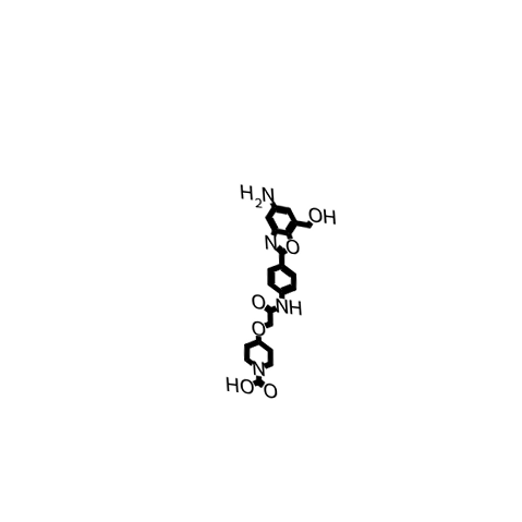 Nc1cc(CO)c2oc(-c3ccc(NC(=O)COC4CCN(C(=O)O)CC4)cc3)nc2c1